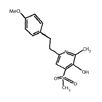 COc1ccc(CCc2cc(S(C)(=O)=O)c(O)c(C)n2)cc1